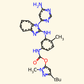 Cc1ccc(NC(=O)Oc2cc(C(C)(C)C)nn2C)cc1Nc1nc2ccccc2n1-c1cc(N)ncn1